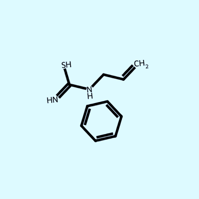 C=CCNC(=N)S.c1ccccc1